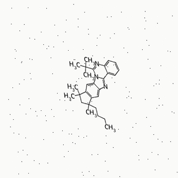 CCCCC1(C)CC(C)(C)c2cc3c(cc21)nc1c2ccccc2nc(C(C)(C)C)n31